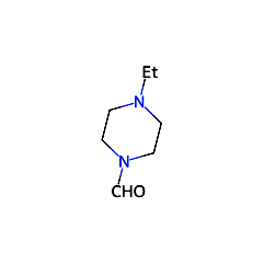 CCN1CCN(C=O)CC1